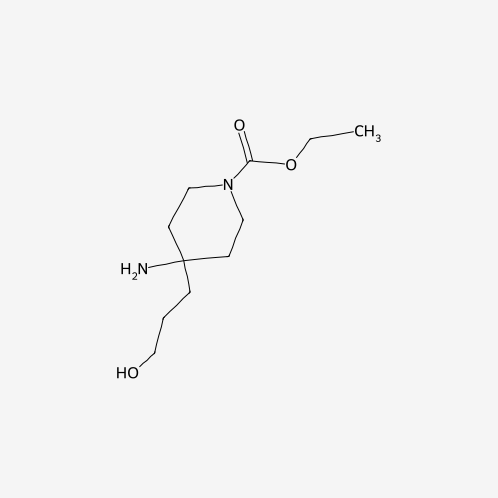 CCOC(=O)N1CCC(N)(CCCO)CC1